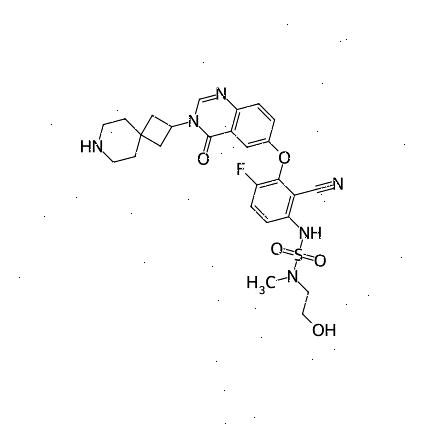 CN(CCO)S(=O)(=O)Nc1ccc(F)c(Oc2ccc3ncn(C4CC5(CCNCC5)C4)c(=O)c3c2)c1C#N